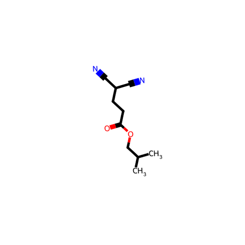 CC(C)COC(=O)CCC(C#N)C#N